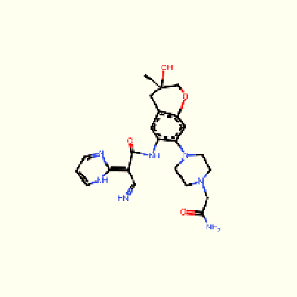 C[C@@]1(O)COc2cc(N3CCN(CC(N)=O)CC3)c(NC(=O)/C(C=N)=C3\N=CC=CN3)cc2C1